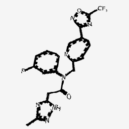 Cc1n[nH]c(CC(=O)N(Cc2ccc(-c3noc(C(F)(F)F)n3)cn2)c2cccc(F)c2)n1